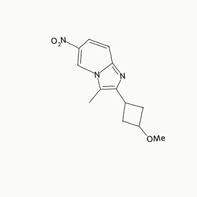 COC1CC(c2nc3ccc([N+](=O)[O-])cn3c2C)C1